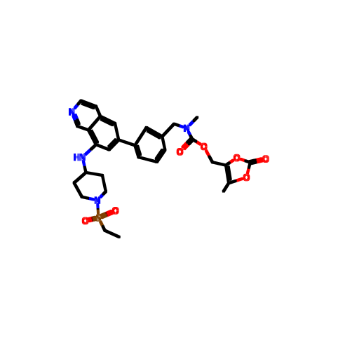 CCS(=O)(=O)N1CCC(Nc2cc(-c3cccc(CN(C)C(=O)OCc4oc(=O)oc4C)c3)cc3ccncc23)CC1